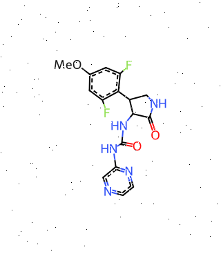 COc1cc(F)c(C2CNC(=O)C2NC(=O)Nc2cnccn2)c(F)c1